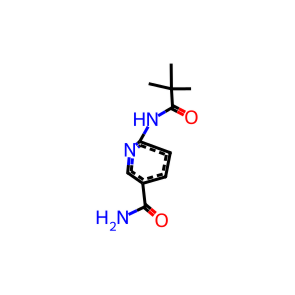 CC(C)(C)C(=O)Nc1ccc(C(N)=O)cn1